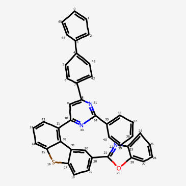 c1ccc(-c2ccc(-c3cc(-c4cccc5sc6ccc(-c7nc8ccccc8o7)cc6c45)nc(-c4ccccc4)n3)cc2)cc1